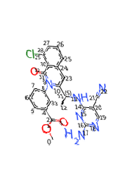 COC(=O)c1cccc(-n2c([C@H](C)Nc3nc(N)ncc3C#N)cc3cccc(Cl)c3c2=O)c1